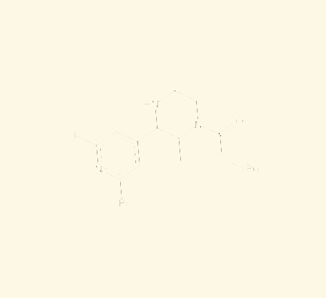 CC1C(c2cc(Cl)nc(Br)c2)NCCN1C(=O)OC(C)(C)C